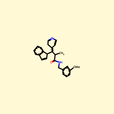 COc1cccc(CNC(=O)C(C)/C(=C2\C=CN=CC2)C2C=Cc3ccccc32)c1